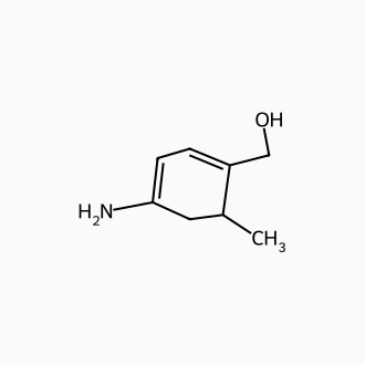 CC1CC(N)=CC=C1CO